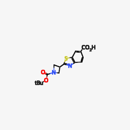 CC(C)(C)OC(=O)N1CC(c2nc3ccc(C(=O)O)cc3s2)C1